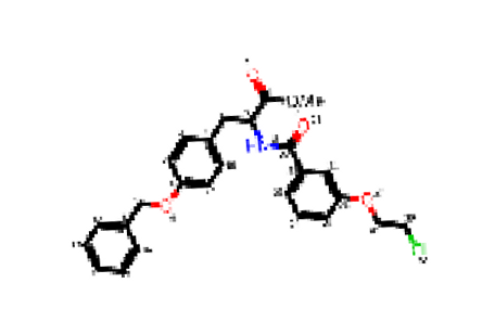 COC(=O)C(Cc1ccc(OCc2ccccc2)cc1)NC(=O)c1cccc(OCCCl)c1